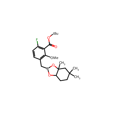 COc1c(CB2OC3CCC(C)(C)CC3(C)O2)ccc(F)c1C(=O)OC(C)(C)C